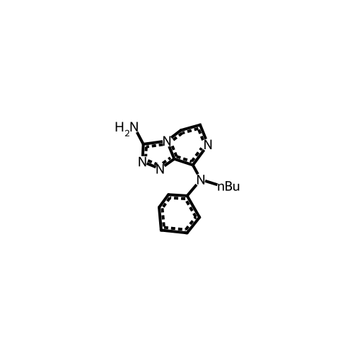 CCCCN(c1ccccc1)c1nccn2c(N)nnc12